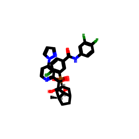 O=C(Nc1ccc(F)c(F)c1)c1ccc(Cl)c(S(=O)(=O)[C@@H]2CC3CC[C@@H](C2)[C@@]3(O)C(O)C(O)c2cc(-n3cccn3)ccn2)c1